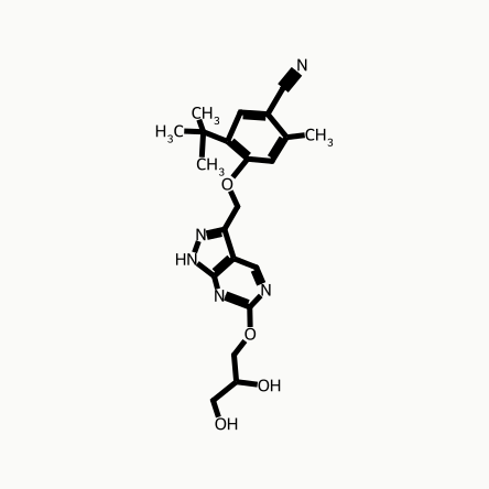 Cc1cc(OCc2n[nH]c3nc(OCC(O)CO)ncc23)c(C(C)(C)C)cc1C#N